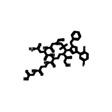 CC(C)(C)C(c1cc(-c2cc(F)ccc2F)cn1Cc1ccccc1)N(CCC(NC(=O)C(CC(N)=O)NC(=O)CNC=O)C(=O)NCCC(=O)NCC(=O)O)C(=O)CO